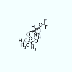 CC(C)(C)OC(=O)N1[C@@H]2C[C@@H]([C@@H](OC(F)F)C2)[C@@H]1C=O